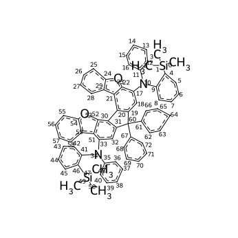 C[Si](C)(C)c1ccccc1N(c1ccccc1)c1cc2c(c3c1oc1ccccc13)-c1c(cc(N(c3ccccc3)c3ccccc3[Si](C)(C)C)c3c1oc1ccccc13)C2(c1ccccc1)c1ccccc1